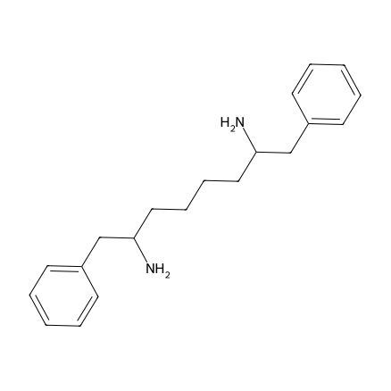 NC(CCCCC(N)Cc1ccccc1)Cc1ccccc1